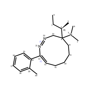 CC[C@@H](C)C1(N(C)C)CCCC/C=C(c2ccccc2C)\N=N/C1